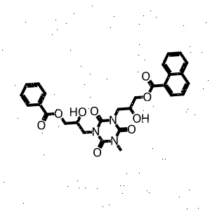 Cn1c(=O)n(CC(O)COC(=O)c2ccccc2)c(=O)n(CC(O)COC(=O)c2cccc3ccccc23)c1=O